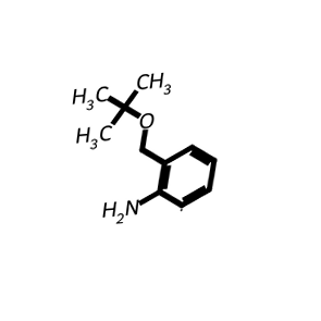 CC(C)(C)OCc1ccc[c]c1N